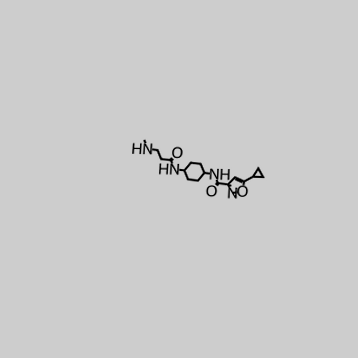 CNCCC(=O)NC1CCC(NC(=O)c2cc(C3CC3)on2)CC1